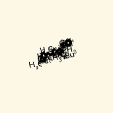 C=C([C@H](C)CC1CC[C@@H]2O[C@@H](C)C[C@]2(CC)O1)[C@H](C)C[C@@H]1O[C@H](C[C@H](C)CC)[C@H](C)[C@H]1CS(=O)(=O)c1ccccc1